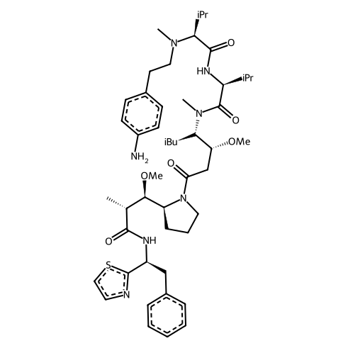 CC[C@H](C)[C@@H]([C@@H](CC(=O)N1CCC[C@H]1[C@H](OC)[C@@H](C)C(=O)N[C@@H](Cc1ccccc1)c1nccs1)OC)N(C)C(=O)[C@@H](NC(=O)[C@H](C(C)C)N(C)CCc1ccc(N)cc1)C(C)C